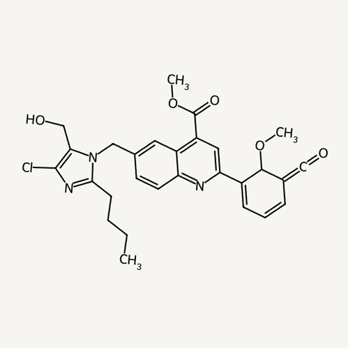 CCCCc1nc(Cl)c(CO)n1Cc1ccc2nc(C3=CC=CC(=C=O)C3OC)cc(C(=O)OC)c2c1